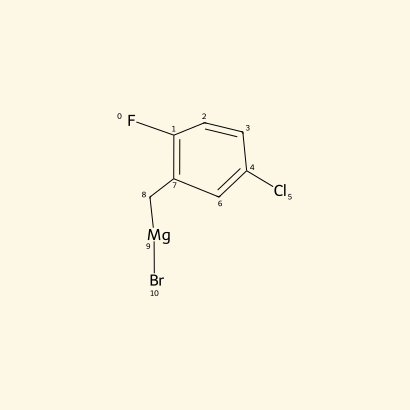 Fc1ccc(Cl)cc1[CH2][Mg][Br]